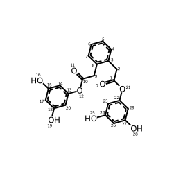 O=C(Cc1ccccc1CC(=O)Oc1cc(O)cc(O)c1)Oc1cc(O)cc(O)c1